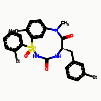 CCc1cccc(C[C@@H]2NC(=O)N[SH](=O)(c3ccccc3CC)c3cc(ccc3OC)N(C)C2=O)c1